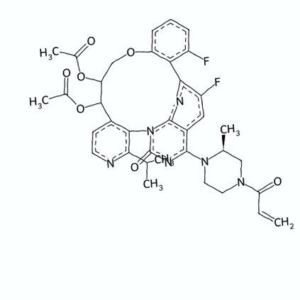 C=CC(=O)N1CCN(c2nc(=O)n3c4nc(c(F)cc24)-c2c(F)cccc2OCC(OC(C)=O)C(OC(C)=O)c2ccnc(C(C)C)c2-3)[C@@H](C)C1